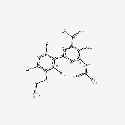 CCOc1c(Cl)cc(F)c(-c2cc(NC(C)=O)c(Cl)c(C(=O)O)n2)c1F